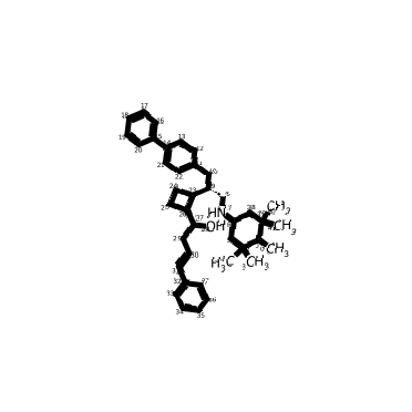 CC1C(C)(C)CC(NC[C@@H](Cc2ccc(-c3ccccc3)cc2)C2CCC2C(O)C/C=C/c2ccccc2)CC1(C)C